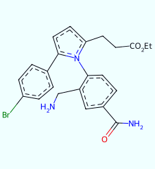 CCOC(=O)CCc1ccc(-c2ccc(Br)cc2)n1-c1ccc(C(N)=O)cc1CN